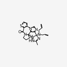 C=CCN(CC=C)C1(c2ncn3c2[C@@H]2CCCN2C(=O)c2sccc2-3)N=C(C)NO1